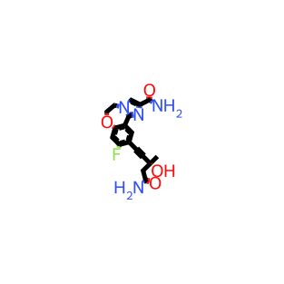 CC(O)(C#Cc1cc2c(cc1F)OCCn1cc(C(N)=O)nc1-2)CC(N)=O